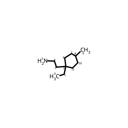 CCC1(CCN)CCC(C)CC1